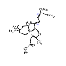 CO/C(N)=C/C=C(\N)c1cnc(C)c(CC(=O)OC(C)C)c1N1CCC(C)(C)CC1